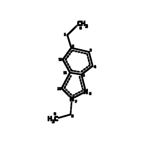 CCc1ccc2nn(CC)cc2c1